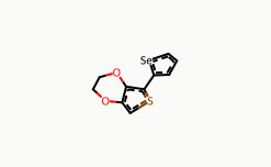 c1c[se]c(-c2scc3c2OCCO3)c1